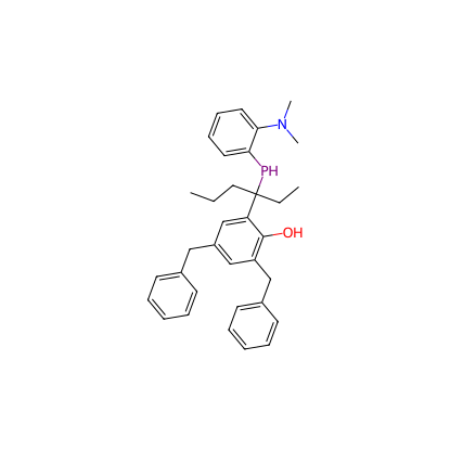 CCCC(CC)(Pc1ccccc1N(C)C)c1cc(Cc2ccccc2)cc(Cc2ccccc2)c1O